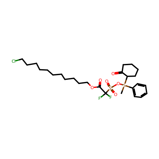 CS(OS(=O)(=O)C(F)(F)C(=O)OCCCCCCCCCCCCl)(c1ccccc1)C1CCCCC1=O